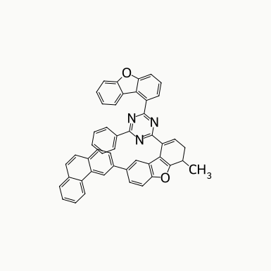 CC1CC=C(c2nc(-c3ccccc3)nc(-c3cccc4oc5ccccc5c34)n2)c2c1oc1ccc(-c3ccc4ccc5ccccc5c4c3)cc21